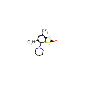 O=c1sc2c(C(F)(F)F)cc([N+](=O)[O-])c(N3CCCCC3)c2s1